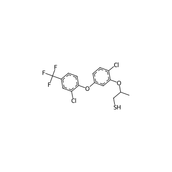 CC(CS)Oc1cc(Oc2ccc(C(F)(F)F)cc2Cl)ccc1Cl